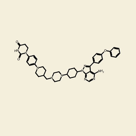 Nc1ncnc2c1c(-c1ccc(Oc3ccccc3)cc1)nn2C1CCC(N2CCN(CC3CCN(c4ccc(N5CCC(=O)NC5=O)cc4)CC3)CC2)CC1